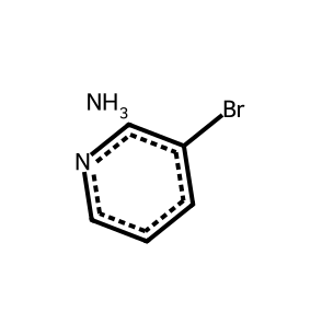 Brc1cccnc1.N